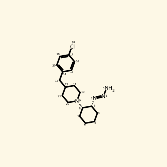 NN=N[C@@H]1CCCC[C@@H]1N1CCC(Cc2ccc(Cl)cc2)CC1